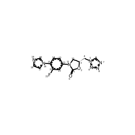 O=C1O[C@@H](Cn2cnnn2)CN1c1ccc(-n2ccnc2)c(F)c1